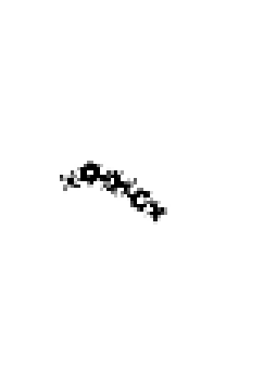 O=C(NC1CCN(CC(F)(F)F)CC1)c1cnc(-c2cccc(OC(F)(F)F)c2)nc1